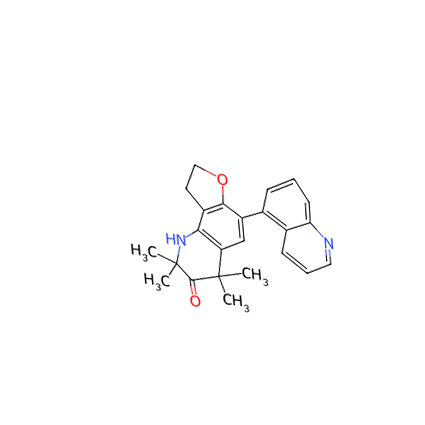 CC1(C)Nc2c(cc(-c3cccc4ncccc34)c3c2CCO3)C(C)(C)C1=O